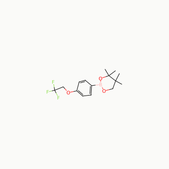 CC1(C)COB(c2ccc(OCC(F)(F)F)cc2)OC1(C)C